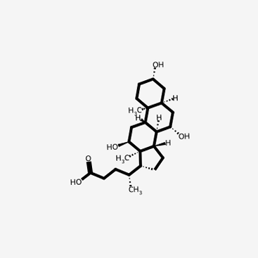 C[C@H](CCC(=O)O)[C@H]1CC[C@H]2[C@@H]3[C@@H](O)C[C@@H]4C[C@@H](O)CC[C@]4(C)[C@H]3C[C@H](O)[C@]12C